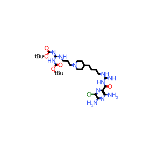 CC(C)(C)OC(=O)N=C(NCCCN1CCC(CCCCNC(=N)NC(=O)c2nc(Cl)c(N)nc2N)CC1)NC(=O)OC(C)(C)C